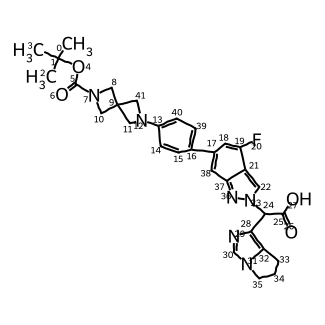 CC(C)(C)OC(=O)N1CC2(C1)CN(c1ccc(-c3cc(F)c4cn(C(C(=O)O)c5ncn6c5CCC6)nc4c3)cc1)C2